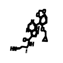 C[C@H](CC=N)NC(=O)c1c[nH]c2c(-c3c(OCC4CC4)ccc4c3OCO4)ncnc12